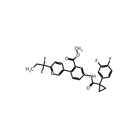 CCC(F)(F)c1ccc(-c2ccc(NC(=O)C3(c4ccc(F)c(F)c4)CC3)cc2C(=O)OC)cn1